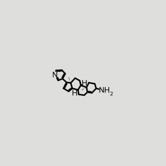 C[C@]12CC[C@H]3[C@@H](CCC4=CC(N)CC[C@@]43C)C1=CC=C2c1cccnc1